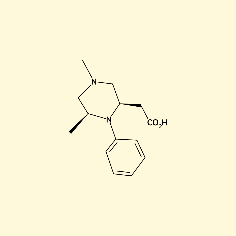 C[C@H]1CN(C)C[C@@H](CC(=O)O)N1c1ccccc1